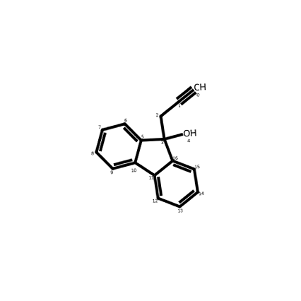 C#CCC1(O)c2ccccc2-c2ccccc21